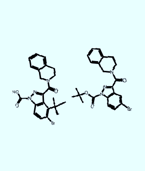 CC(C)(C)OC(=O)n1nc(C(=O)N2CCc3ccccc3C2)c2cc(Br)ccc21.CC(C)(C)c1c(Br)ccc2c1c(C(=O)N1CCc3ccccc3C1)nn2C(=O)O